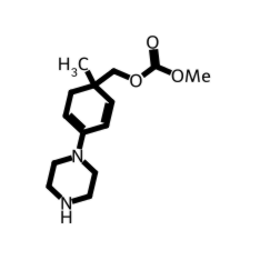 COC(=O)OCC1(C)C=CC(N2CCNCC2)=CC1